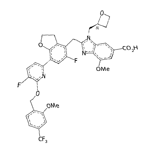 COc1cc(C(F)(F)F)ccc1COc1nc(-c2cc(F)c(Cc3nc4c(OC)cc(C(=O)O)cc4n3C[C@@H]3CCO3)c3c2OCC3)ccc1F